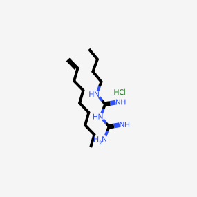 C=CCCCCCCC.CCCCNC(=N)NC(=N)N.Cl